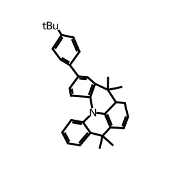 CC(C)(C)c1ccc(-c2ccc3c(c2)C(C)(C)C2CC=CC4=C2N3c2ccccc2C4(C)C)cc1